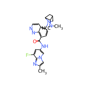 Cc1cn2cc(NC(=O)c3ccc(N4CC5CC4C5N(C)C)c4ccnnc34)cc(F)c2n1